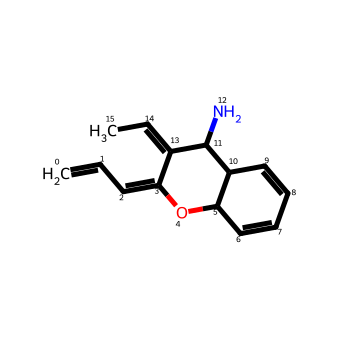 C=C/C=C1/OC2C=CC=CC2C(N)/C1=C/C